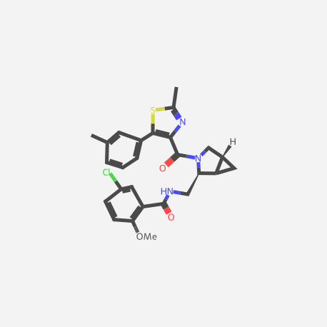 COc1ccc(Cl)cc1C(=O)NC[C@@H]1C2C[C@H]2CN1C(=O)c1nc(C)sc1-c1cccc(C)c1